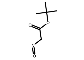 CC(C)(C)OC(=O)CN=O